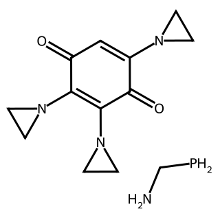 NCP.O=C1C=C(N2CC2)C(=O)C(N2CC2)=C1N1CC1